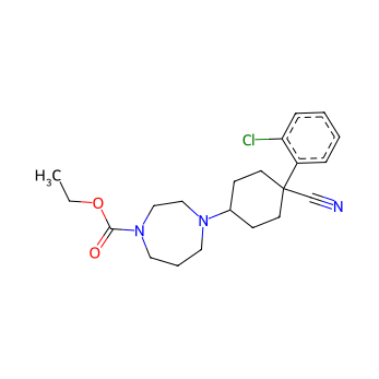 CCOC(=O)N1CCCN(C2CCC(C#N)(c3ccccc3Cl)CC2)CC1